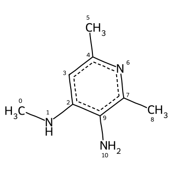 CNc1cc(C)nc(C)c1N